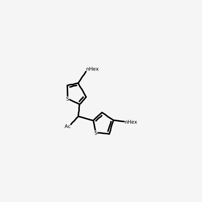 CCCCCCc1csc(C(C(C)=O)c2cc(CCCCCC)cs2)c1